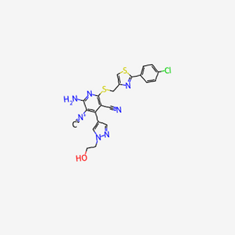 [C-]#[N+]c1c(N)nc(SCc2csc(-c3ccc(Cl)cc3)n2)c(C#N)c1-c1cnn(CCO)c1